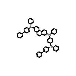 c1ccc(-c2ccc(N(c3ccccc3)c3ccc(N(c4ccccc4)c4ccc5c(ccc6cc(N(c7ccccc7)c7ccc(-c8ccccc8)cc7)ccc65)c4)cc3)cc2)cc1